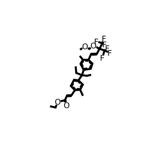 CCOC(=O)C=Cc1ccc(C(CC)(CC)c2ccc(C=CC(OCOC)(C(F)(F)F)C(F)(F)F)c(C)c2)cc1C